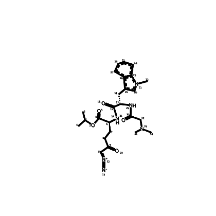 CC(C)OC(=O)[C@H](CCC(=O)C=[N+]=[N-])NC(=O)[C@H](Cc1cn(C)c2ccccc12)NC(=O)CN(C)C